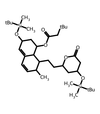 CC1C=CC2=CC(O[Si](C)(C)C(C)(C)C)CC(OC(=O)CC(C)(C)C)C2C1CCC1CC(O[Si](C)(C)C(C)(C)C)CC(=O)O1